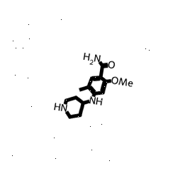 COc1cc(NC2CCNCC2)c(C)cc1C(N)=O